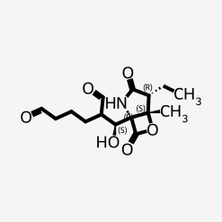 CC[C@H]1C(=O)N[C@@]2([C@@H](O)C(C=O)CCCC=O)C(=O)O[C@@]12C